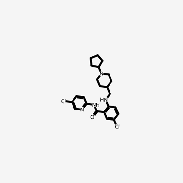 O=C(Nc1ccc(Cl)cn1)c1cc(Cl)ccc1NCC1CCN(C2CCCC2)CC1